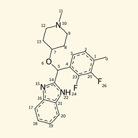 Cc1ccc(C(OC2CCN(C)CC2)c2nc3ccccc3[nH]2)c(F)c1F